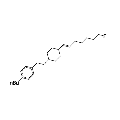 CCCCc1ccc(CC[C@H]2CC[C@H](/C=C/CCCCCF)CC2)cc1